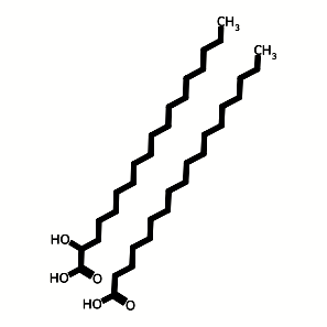 CCCCCCCCCCCCCCCCC(O)C(=O)O.CCCCCCCCCCCCCCCCCC(=O)O